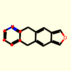 c1ccc2c(c1)C1c3cc4cocc4cc3C2c2ncccc21